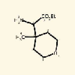 CCOC(=O)C(N)C1(C)CCOCC1